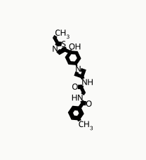 CCc1ncc([C@]2(O)CC[C@H](N3CC(NC(=O)CNC(=O)c4cccc(C)c4)C3)CC2)s1